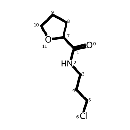 O=C(NCCCCl)C1CCCO1